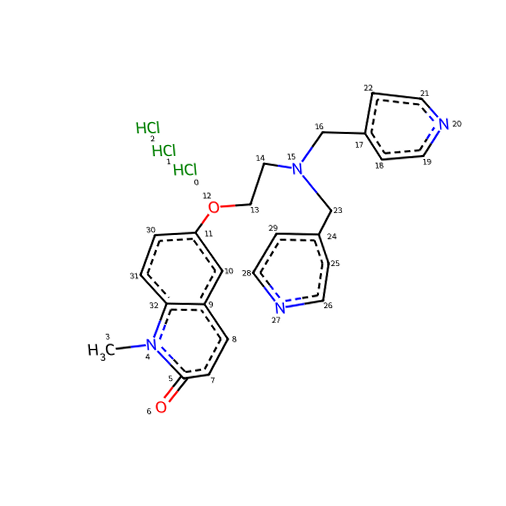 Cl.Cl.Cl.Cn1c(=O)ccc2cc(OCCN(Cc3ccncc3)Cc3ccncc3)ccc21